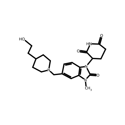 Cn1c(=O)n(C2CCC(=O)NC2=O)c2ccc(CN3CCC(CCO)CC3)cc21